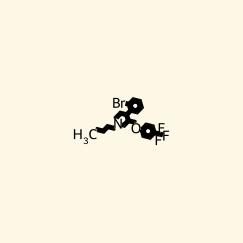 CCCCCN1CCC(c2ccccc2Br)C(COc2ccc(C(F)(F)F)cc2)C1